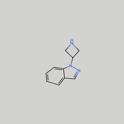 c1ccc2c(c1)cnn2C1CNC1